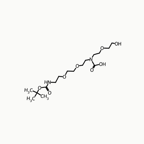 CC(C)(C)OC(=O)NCCOCCOCCN(CCOCCO)C(=O)O